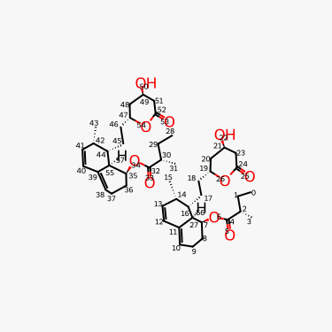 CC[C@H](C)C(=O)O[C@H]1CCC=C2C=C[C@H](C)[C@H](CC[C@@H]3C[C@@H](O)CC(=O)O3)[C@H]21.CC[C@H](C)C(=O)O[C@H]1CCC=C2C=C[C@H](C)[C@H](CC[C@@H]3C[C@@H](O)CC(=O)O3)[C@H]21